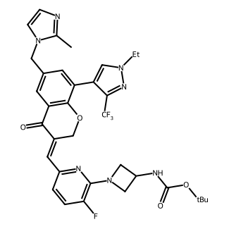 CCn1cc(-c2cc(Cn3ccnc3C)cc3c2OC/C(=C\c2ccc(F)c(N4CC(NC(=O)OC(C)(C)C)C4)n2)C3=O)c(C(F)(F)F)n1